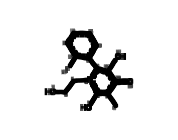 Cc1c(O)n(CCO)c(-c2ccccc2F)c(O)c1=O